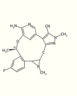 C[C@H]1Oc2cc(cnc2N)-c2c(nn(C)c2C#N)CC2C(c3ccc(F)cc31)N2C